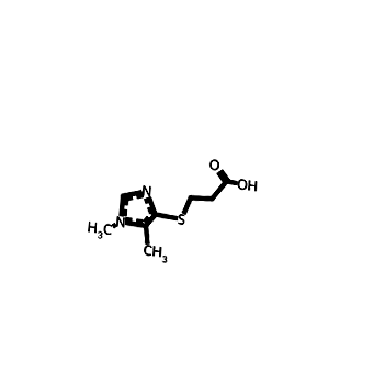 Cc1c(SCCC(=O)O)ncn1C